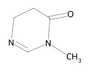 CN1C=NCCC1=O